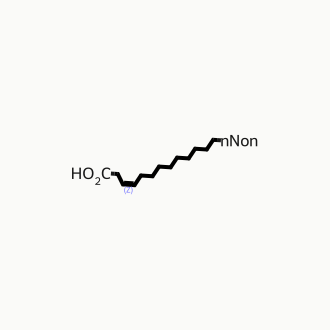 CCCCCCCCCCCCCCCCCC/C=C\CC(=O)O